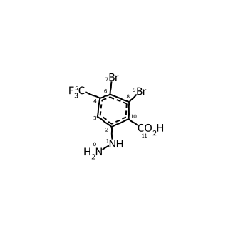 NNc1cc(C(F)(F)F)c(Br)c(Br)c1C(=O)O